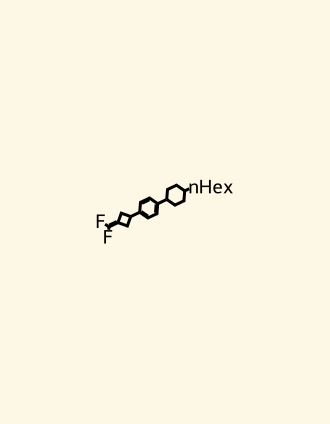 CCCCCCC1CCC(c2ccc(C3CC(=C(F)F)C3)cc2)CC1